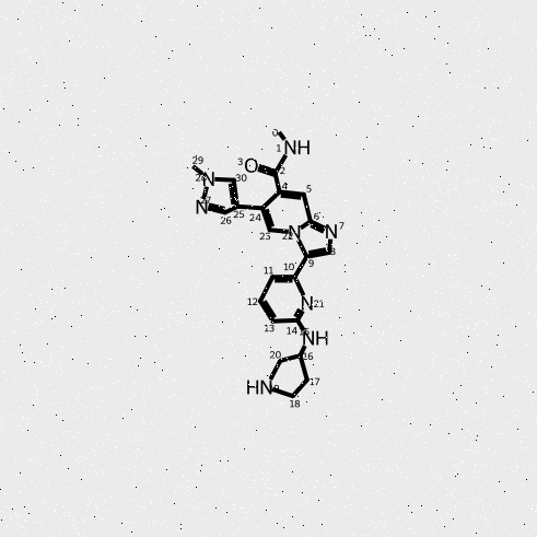 CNC(=O)c1cc2ncc(-c3cccc(NC4CCNC4)n3)n2cc1-c1cnn(C)c1